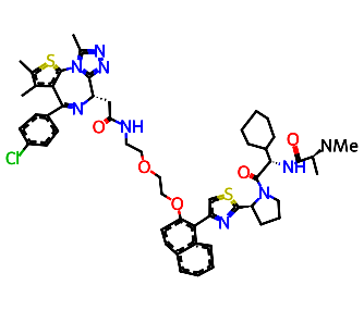 CN[C@@H](C)C(=O)N[C@H](C(=O)N1CCC[C@H]1c1nc(-c2c(OCCOCCNC(=O)C[C@@H]3N=C(c4ccc(Cl)cc4)c4c(sc(C)c4C)-n4c(C)nnc43)ccc3ccccc23)cs1)C1CCCCC1